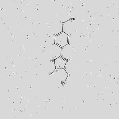 CCCCOc1ccc(-c2nc(CC#N)c(C)[nH]2)cc1